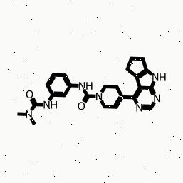 CN(C)C(=O)Nc1cccc(NC(=O)N2CC=C(c3ncnc4[nH]c5c(c34)CCC5)CC2)c1